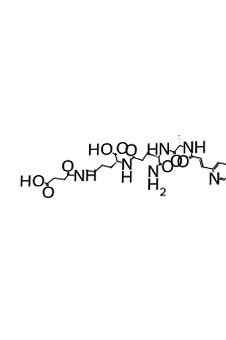 C[C@H](NC(=O)/C=C/c1ccccn1)C(=O)N[C@H](CCC(=O)N[C@@H](CCCCNC(=O)CCC(=O)O)C(=O)O)C(N)=O